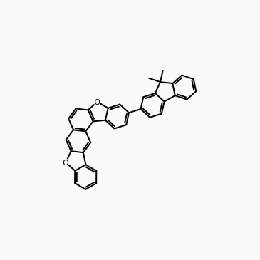 CC1(C)c2ccccc2-c2ccc(-c3ccc4c(c3)oc3ccc5cc6oc7ccccc7c6cc5c34)cc21